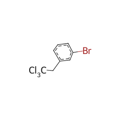 ClC(Cl)(Cl)Cc1cccc(Br)c1